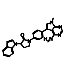 Cn1cc(-c2ccc(N3CCC(n4ccc5ccccc54)C3=O)cc2)c2c(N)ncnc21